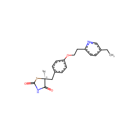 [2H][C@@]1(Cc2ccc(OCCc3ccc(CC)cn3)cc2)SC(=O)NC1=O